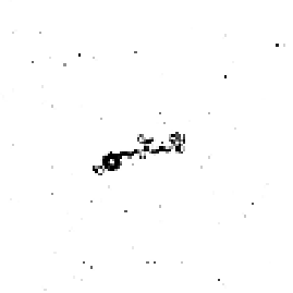 COc1ccc(CCCON(CCC[PH](=O)O)C(C)=O)cc1